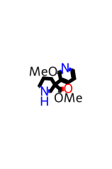 COC(=O)C1(c2cccnc2OC)CCCNC1